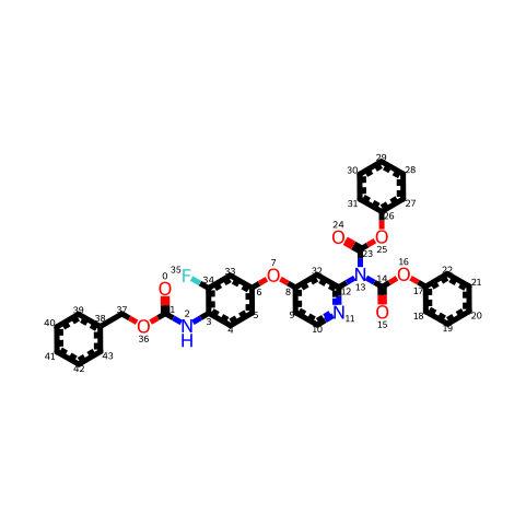 O=C(Nc1ccc(Oc2ccnc(N(C(=O)Oc3ccccc3)C(=O)Oc3ccccc3)c2)cc1F)OCc1ccccc1